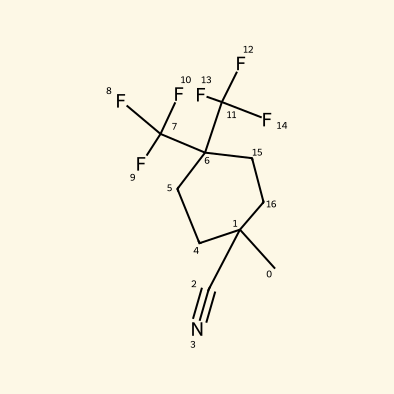 CC1(C#N)CCC(C(F)(F)F)(C(F)(F)F)CC1